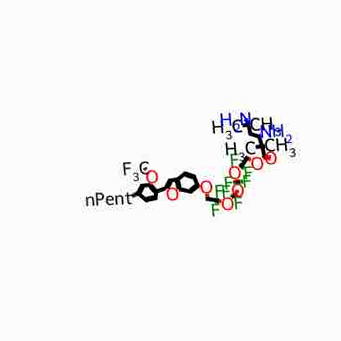 CCCCCc1ccc(-c2cc3ccc(OCC(F)(F)OC(F)(F)OC(F)(F)OC(F)(F)COC(=O)C(C)(C)C(N)CC(C)(C)N)cc3o2)c(OC(F)(F)F)c1